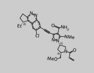 C=CC(=O)N1C[C@@H](n2nc(C#Cc3cc4nnc5c(c4cc3Cl)[C@H](CC)CC5)c(C(N)=O)c2NC)C[C@@H]1COC